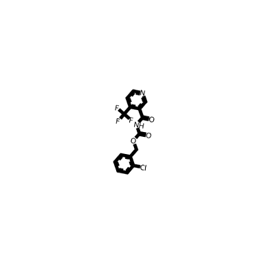 O=C(NC(=O)c1cnccc1C(F)(F)F)OCc1ccccc1Cl